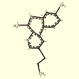 CCCc1cnc2c(N)nc3cc(C)ccc3c2c1